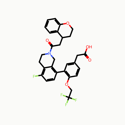 O=C(O)Cc1ccc(OCC(F)(F)F)c(-c2ccc(F)c3c2CN(C(=O)CC2CCOc4ccccc42)CC3)c1